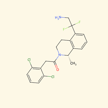 C[C@H]1c2cccc(C(F)(F)CN)c2CCN1C(=O)Cc1c(Cl)cccc1Cl